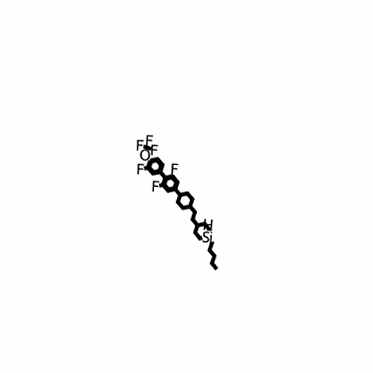 CCCCC[SiH]1CCC(CCC2CCC(c3cc(F)c(-c4ccc(OC(F)(F)F)c(F)c4)c(F)c3)CC2)CC1